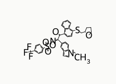 CCn1ccc2cc(/C(=N\OS(=O)(=O)c3ccc(C(F)(F)F)cc3)C(=O)c3ccc(SCC4CCCO4)c4ccccc34)ccc21